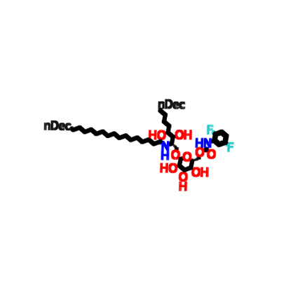 CCCCCCCCCCCCCCCCCCCCCCCCCCN[C@@H](CO[C@@H]1O[C@H](COC(=O)Nc2cc(F)ccc2F)[C@H](O)[C@H](O)[C@H]1O)[C@H](O)[C@H](O)CCCCCCCCCCCCCC